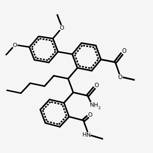 CCCCCC(c1cc(C(=O)OC)ccc1-c1ccc(OC)cc1OC)C(C(N)=O)c1ccccc1C(=O)NC